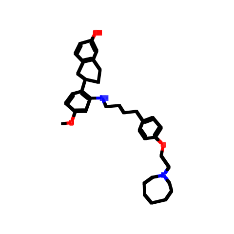 COc1ccc(C2CCc3cc(O)ccc3C2)c(NCCCCc2ccc(OCCN3CCCCCCC3)cc2)c1